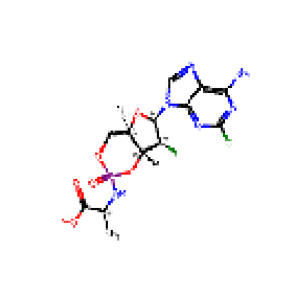 C[C@H](NP1(=O)OC[C@H]2O[C@@H](n3cnc4c(N)nc(Cl)nc43)[C@@H](F)[C@@H]2O1)C(=O)O